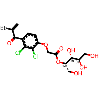 C=C(CC)C(=O)c1ccc(OCC(=O)O[C@@H](CO)[C@H](O)[C@H](O)CO)c(Cl)c1Cl